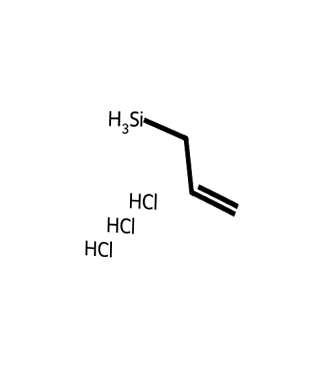 C=CC[SiH3].Cl.Cl.Cl